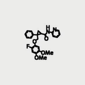 COc1cc(F)c(OCC2(c3ccccc3)CC2C(=O)Nc2ccccn2)cc1OC